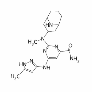 Cc1cc(Nc2cc(C(N)=O)nc(N(C)C3CC4CCCC(C3)N4)n2)n[nH]1